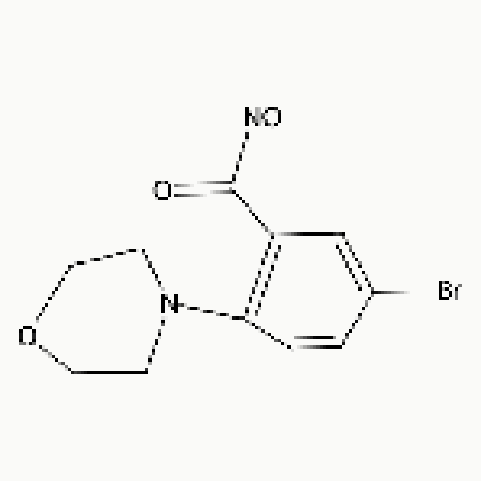 O=NC(=O)c1cc(Br)ccc1N1CCOCC1